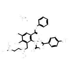 CCN(CC)CCN(CC)Cc1c(Cl)c(C)cc(C(=O)Oc2ccccc2)c1-n1nc(-c2ccc(C(F)(F)F)cc2)oc1=O.Cl.Cl